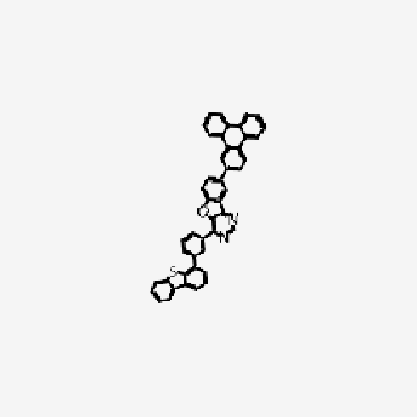 c1cc(-c2ncnc3c2oc2ccc(-c4ccc5c6ccccc6c6ccccc6c5c4)cc23)cc(-c2cccc3c2sc2ccccc23)c1